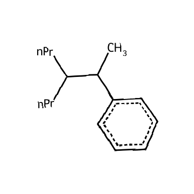 CCCC(CCC)C(C)c1ccccc1